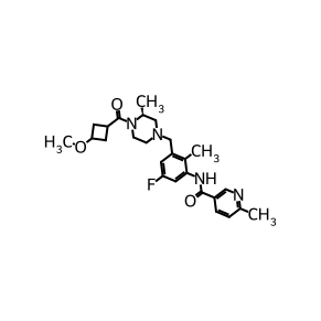 COC1CC(C(=O)N2CCN(Cc3cc(F)cc(NC(=O)c4ccc(C)nc4)c3C)C[C@@H]2C)C1